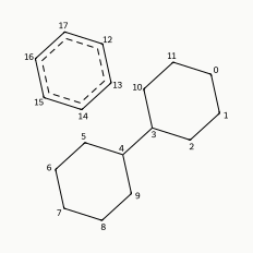 C1CCC(C2CCCCC2)CC1.c1ccccc1